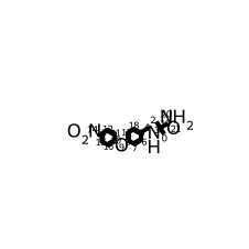 CC(C)(NCc1ccc(Oc2ccc([N+](=O)[O-])cc2)cc1)C(N)=O